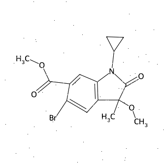 COC(=O)c1cc2c(cc1Br)C(C)(OC)C(=O)N2C1CC1